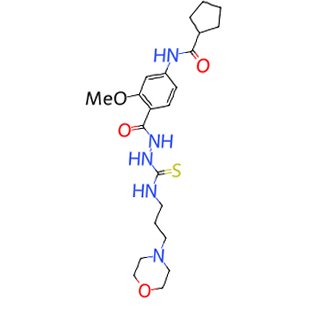 COc1cc(NC(=O)C2CCCC2)ccc1C(=O)NNC(=S)NCCCN1CCOCC1